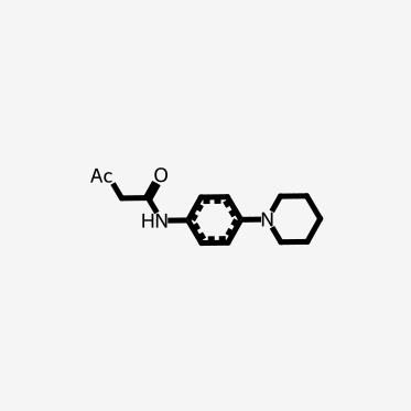 CC(=O)CC(=O)Nc1ccc(N2CCCCC2)cc1